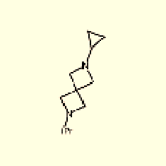 CC(C)N1CC2(C1)CN(C1CC1)C2